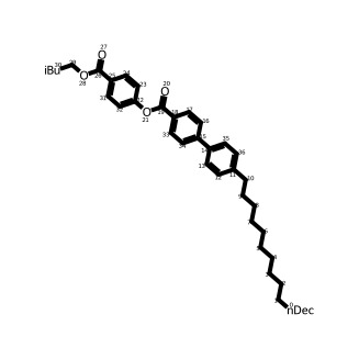 CCCCCCCCCCCCCCCCCCCCc1ccc(-c2ccc(C(=O)Oc3ccc(C(=O)OCC(C)CC)cc3)cc2)cc1